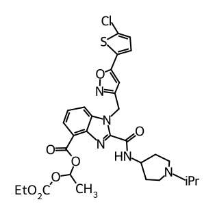 CCOC(=O)OC(C)OC(=O)c1cccc2c1nc(C(=O)NC1CCN(C(C)C)CC1)n2Cc1cc(-c2ccc(Cl)s2)on1